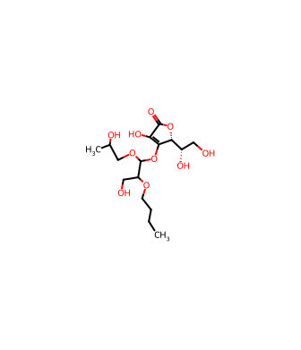 CCCCOC(CO)C(OCC(C)O)OC1=C(O)C(=O)O[C@@H]1[C@@H](O)CO